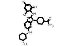 NC(=O)C1CCC(n2c(Nc3c(Cl)cc(Cl)cc3Cl)nc3cnc(N[C@@H]4CCC[C@@H](O)C4)nc32)CC1